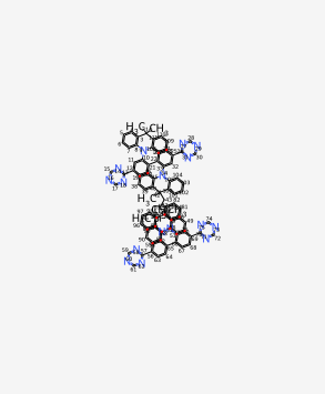 CC1(C)c2ccccc2N(c2cc(-c3ncncn3)ccc2-c2ccc(-c3ncncn3)cc2N2c3ccccc3C(C)(CC[Si]3(C)c4ccccc4N(c4cc(-c5ncncn5)ccc4-c4ccc(-c5ncncn5)cc4N4c5ccccc5[Si](C)(C)c5ccccc54)c4ccccc43)c3ccccc32)c2ccccc21